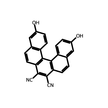 N#Cc1c(C#N)c2ccc3cc(O)ccc3c2c2c1ccc1cc(O)ccc12